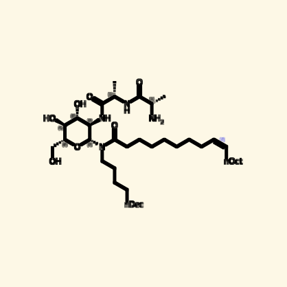 CCCCCCCC/C=C\CCCCCCCC(=O)N(CCCCCCCCCCCCCC)[C@@H]1O[C@H](CO)[C@@H](O)[C@H](O)[C@H]1NC(=O)[C@H](C)NC(=O)[C@H](C)N